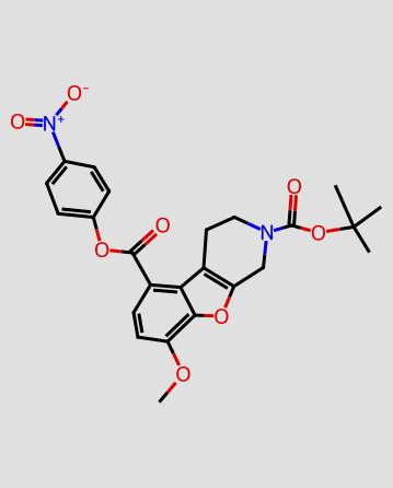 COc1ccc(C(=O)Oc2ccc([N+](=O)[O-])cc2)c2c3c(oc12)CN(C(=O)OC(C)(C)C)CC3